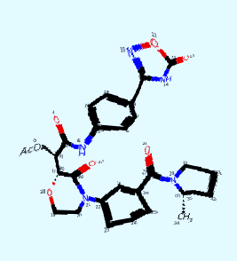 CC(=O)O[C@@H](C(=O)Nc1ccc(-c2noc(=O)[nH]2)cc1)[C@H]1OCCN(c2cccc(C(=O)N3CCC[C@@H]3C)c2)C1=O